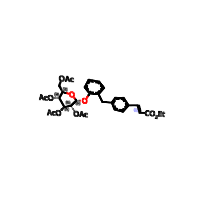 CCOC(=O)/C=C/c1ccc(Cc2ccccc2O[C@H]2O[C@H](COC(C)=O)[C@@H](OC(C)=O)[C@H](OC(C)=O)[C@H]2OC(C)=O)cc1